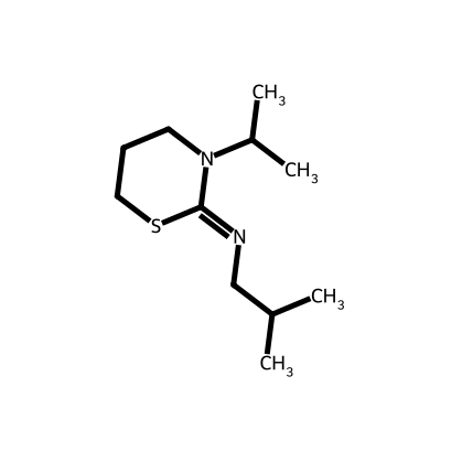 CC(C)C/N=C1\SCCCN1C(C)C